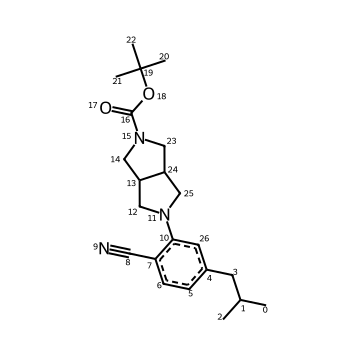 CC(C)Cc1ccc(C#N)c(N2CC3CN(C(=O)OC(C)(C)C)CC3C2)c1